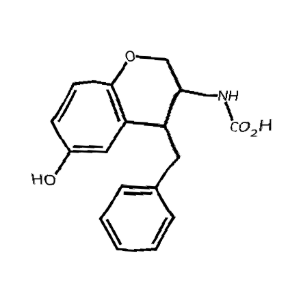 O=C(O)NC1COc2ccc(O)cc2C1Cc1ccccc1